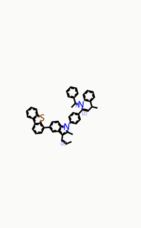 C/C=C\c1c(C)n(-c2ccc(C(=C/C(C)c3ccccc3)/N=C(\C)c3ccccc3)cc2)c2ccc(-c3cccc4c3sc3ccccc34)cc12